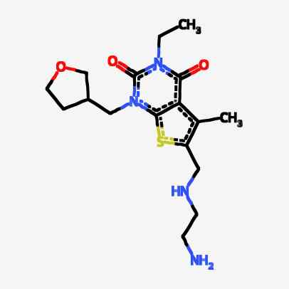 CCn1c(=O)c2c(C)c(CNCCN)sc2n(CC2CCOC2)c1=O